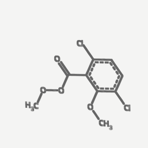 COOC(=O)c1c(Cl)ccc(Cl)c1OC